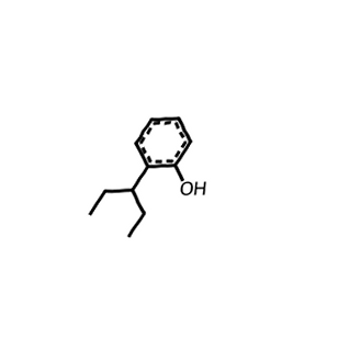 CCC(CC)c1ccccc1O